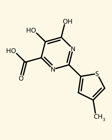 Cc1csc(-c2nc(O)c(O)c(C(=O)O)n2)c1